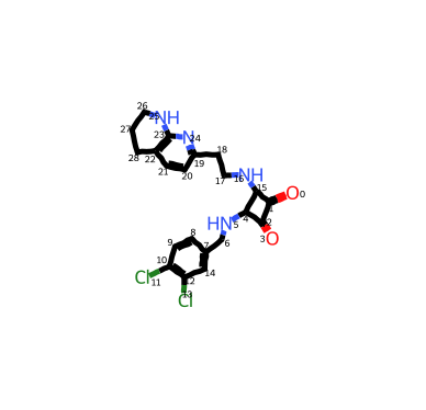 O=C1C(=O)C(NCc2ccc(Cl)c(Cl)c2)C1NCCc1ccc2c(n1)NCCC2